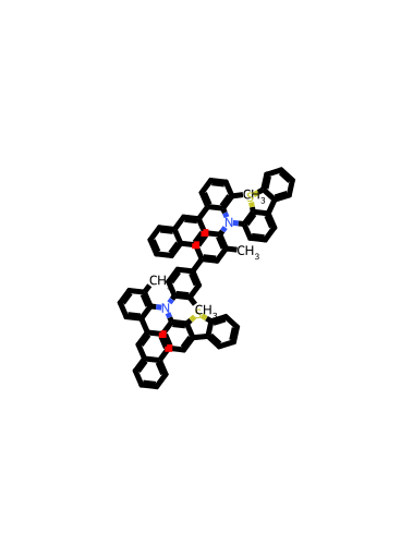 Cc1cc(-c2ccc(N(c3c(C)cccc3-c3ccc4ccccc4c3)c3cccc4c3sc3ccccc34)c(C)c2)ccc1N(c1c(C)cccc1-c1ccc2ccccc2c1)c1cccc2c1sc1ccccc12